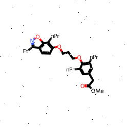 CCCc1cc(CC(=O)OC)cc(CCC)c1OCCCOc1ccc2c(CC)noc2c1CCC